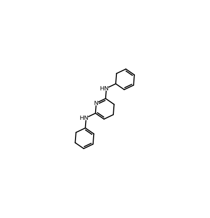 C1=CCCC(NC2=CCCC(NC3C=CC=CC3)=N2)=C1